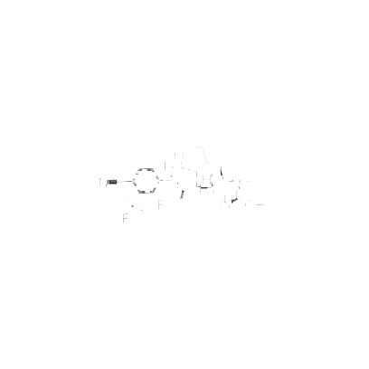 CN(C(=O)O)[C@@H]1C[C@@]23CCO[C@H]4[C@@H]2[C@H](C(=O)N4c2ccc(C#N)c(C(F)(F)F)c2F)[C@]1(C)O3